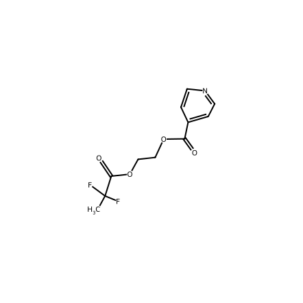 CC(F)(F)C(=O)OCCOC(=O)c1ccncc1